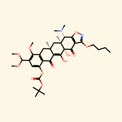 CCCCOc1noc2c1C(=O)[C@@]1(O)C(O)=C3C(=O)c4c(OC(=O)OC(C)(C)C)cc(C(OC)OC)c(OC)c4C[C@H]3C[C@H]1[C@@H]2N(C)C